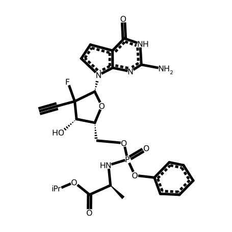 C#CC1(F)[C@@H](O)[C@@H](COP(=O)(N[C@@H](C)C(=O)OC(C)C)Oc2ccccc2)O[C@H]1n1ccc2c(=O)[nH]c(N)nc21